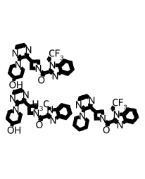 Cn1c(C(=O)N2CC(c3nccnc3N3CCC(O)CC3)C2)nc2ccccc21.O=C(c1nc2ccccc2n1CC(F)(F)F)N1CC(c2nccnc2N2CCC(O)CC2)C1.O=C(c1nc2ccccc2n1CC(F)(F)F)N1CC(c2nccnc2N2CCCCC2)C1